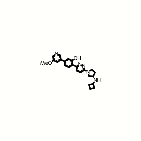 COc1cncc(-c2ccc(-c3ccc(N4CC[C@H](NC5CCC5)C4)nn3)c(O)c2)c1